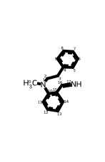 CN(CCc1ccccc1)c1ccc[c]c1C=N